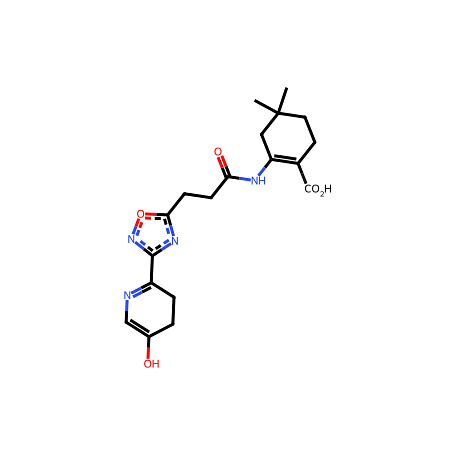 CC1(C)CCC(C(=O)O)=C(NC(=O)CCc2nc(C3=NC=C(O)CC3)no2)C1